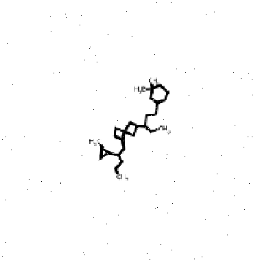 BC1(C)CCCC(CCC(CC)C2CC3(CCC3CC(CCC)C3CC3C)C2)C1